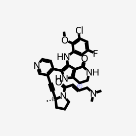 COc1c(Cl)cc(F)cc1Nc1c(-c2ccncc2C#C[C@]2(C)CCCN2C(=O)/C=C/CN(C)C)[nH]c2c1C(=O)NCC2